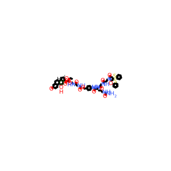 CCC(=O)O[C@]1(C(=O)COCNC(=O)CNC(=O)OCc2ccc(NC(=O)[C@H](CCCNC(N)=O)NC(=O)CNC(=O)CCN3C(=O)C(Sc4ccccc4)=C(Sc4ccccc4)C3=O)cc2)[C@@H](C)CC2[C@@H]3CCC4=CC(=O)C=C[C@]4(C)[C@@]3(Cl)[C@@H](O)C[C@@]21C